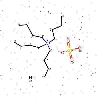 CCCC[N+](CCCC)(CCCC)CCCC.O=S(=O)([O-])[O-].[H+]